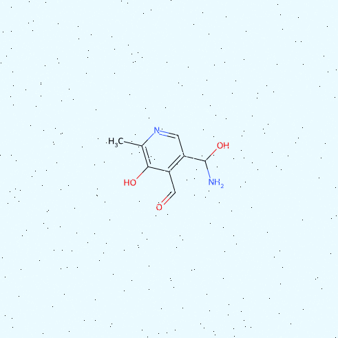 Cc1ncc(C(N)O)c(C=O)c1O